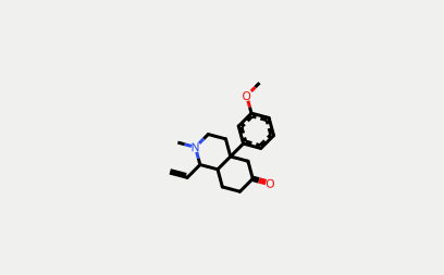 C=CC1C2CCC(=O)CC2(c2cccc(OC)c2)CCN1C